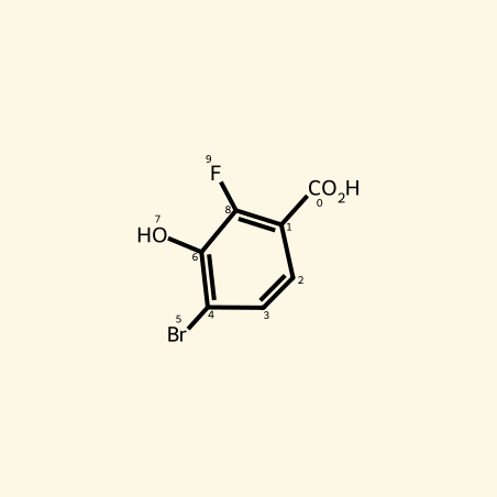 O=C(O)c1ccc(Br)c(O)c1F